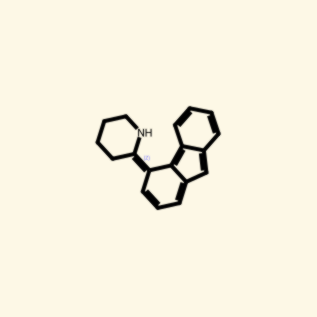 C1=c2ccccc2=c2c1ccc/c2=C1\CCCCN1